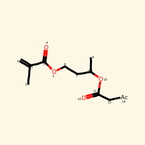 C=C(C)C(=O)OCCC(C)OC(=O)CC(C)=O